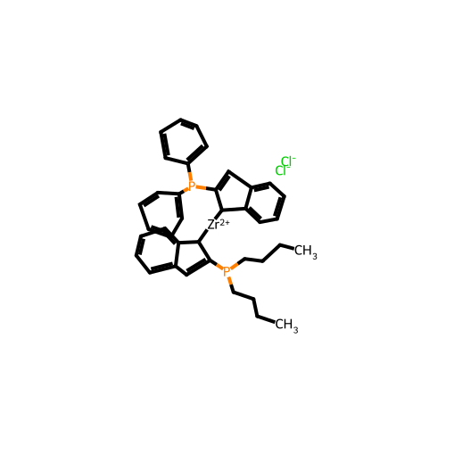 CCCCP(CCCC)C1=Cc2ccccc2[CH]1[Zr+2][CH]1C(P(c2ccccc2)c2ccccc2)=Cc2ccccc21.[Cl-].[Cl-]